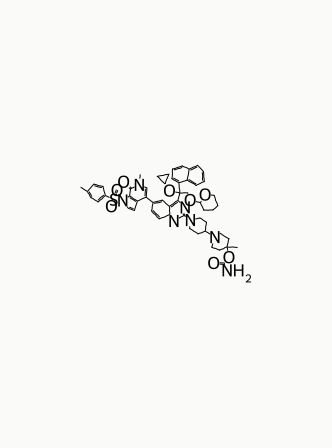 Cc1ccc(S(=O)(=O)n2ccc3c(-c4ccc5nc(N6CCC(N7CCC(C)(OC(N)=O)CC7)CC6)nc(C(COC6CCCCO6)(OC6CC6)c6cccc7ccccc67)c5c4)cn(C)c(=O)c32)cc1